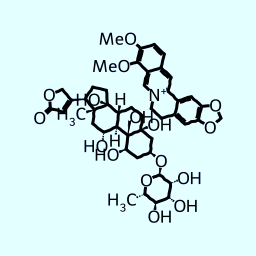 COc1ccc2cc3[n+](cc2c1OC)CCc1cc2c(cc1-3)OCO2.C[C@@H]1O[C@@H](O[C@H]2C[C@@H](O)[C@]3(CO)[C@H]4[C@H](O)C[C@]5(C)[C@@H](C6=CC(=O)OC6)CC[C@]5(O)[C@@H]4CC[C@]3(O)C2)[C@H](O)[C@H](O)[C@H]1O